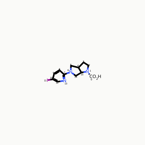 O=C(O)N1CCC2CN(c3ccc(I)cn3)CC21